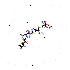 COC(C)(C)CCCC(C)c1cnc(NC(=O)C(C)NC(=O)C(=O)c2cccs2)s1